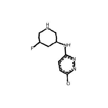 FC1CNCC(Nc2ccc(Cl)nn2)C1